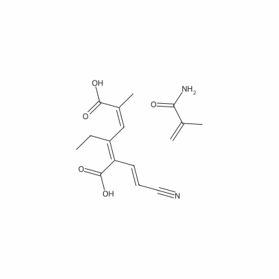 C=C(C)C(N)=O.CCC(C=C(C)C(=O)O)=C(C=CC#N)C(=O)O